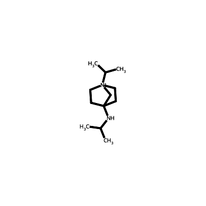 CC(C)NC12CC[N+](C(C)C)(CC1)C2